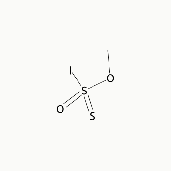 COS(=O)(=S)I